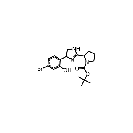 CC(C)(C)OC(=O)N1CCCC1C1=NC(c2ccc(Br)cc2O)CN1